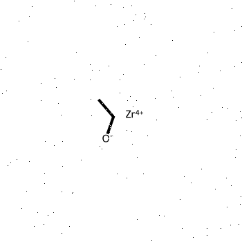 CC[O-].[Zr+4]